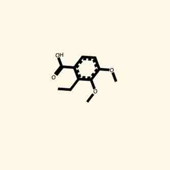 CCc1c(C(=O)O)ccc(OC)c1OC